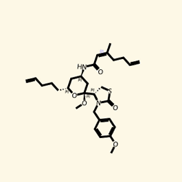 C=CCCC[C@@H]1C[C@@H](NC(=O)/C=C(/C)CCC=C)C[C@](OC)([C@@H]2CSC(=O)N2Cc2ccc(OC)cc2)O1